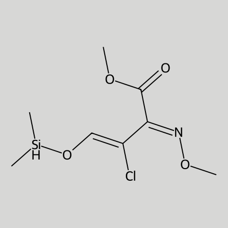 CON=C(C(=O)OC)C(Cl)=CO[SiH](C)C